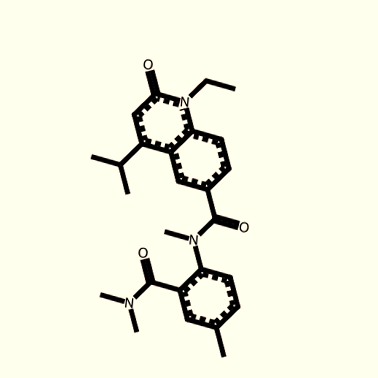 CCn1c(=O)cc(C(C)C)c2cc(C(=O)N(C)c3ccc(C)cc3C(=O)N(C)C)ccc21